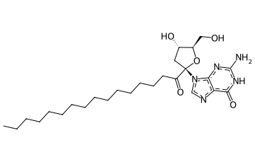 CCCCCCCCCCCCCCCC(=O)[C@]1(n2cnc3c(=O)[nH]c(N)nc32)C[C@H](O)[C@@H](CO)O1